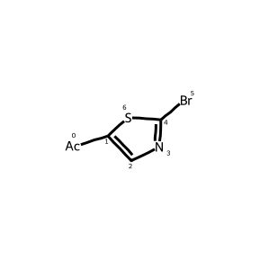 CC(=O)c1cnc(Br)s1